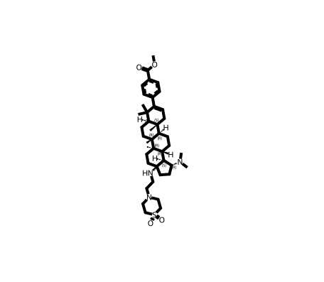 COC(=O)c1ccc(C2=CC[C@]3(C)[C@H]4CC[C@@H]5[C@H]6[C@H](N(C)C)CC[C@]6(NCCN6CCS(=O)(=O)CC6)CC[C@@]5(C)[C@]4(C)CC[C@H]3C2(C)C)cc1